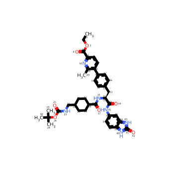 CCOC(=O)c1ccc(-c2ccc(C[C@H](NC(=O)C3CCC(CNC(=O)OC(C)(C)C)CC3)C(=O)Nc3ccc4[nH]c(=O)[nH]c4c3)cc2)c(C)n1